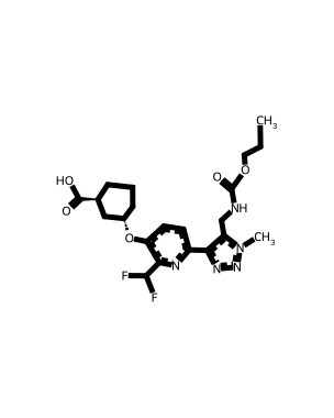 CCCOC(=O)NCc1c(-c2ccc(O[C@H]3CCC[C@H](C(=O)O)C3)c(C(F)F)n2)nnn1C